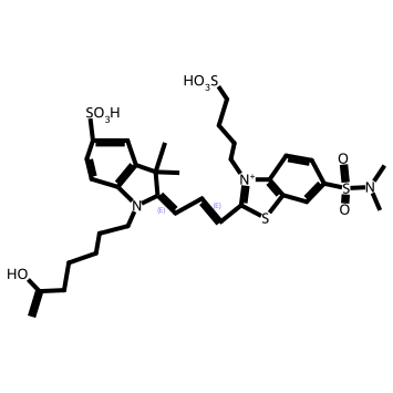 C=C(O)CCCCCN1/C(=C/C=C/c2sc3cc(S(=O)(=O)N(C)C)ccc3[n+]2CCCCS(=O)(=O)O)C(C)(C)c2cc(S(=O)(=O)O)ccc21